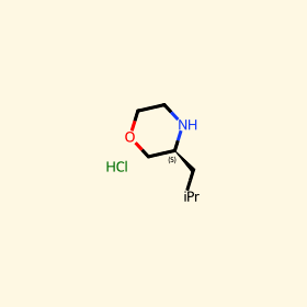 CC(C)C[C@H]1COCCN1.Cl